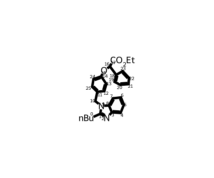 CCCCc1nc2ccccc2n1Cc1ccc(OC(C(=O)OCC)c2ccccc2)cc1